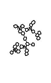 c1ccc(-c2cc(-c3ccc(-c4ccc5c(ccc6c5c5c(-c7cccc(N(c8ccc(-c9cc%10ccccc%10c%10ccccc9%10)cc8)c8ccc9ccccc9c8)c7)cccc5n6-c5ccccc5)c4)cc3)cc(N(c3cccc(-c4cccc5c4c4c6ccccc6ccc4n5-c4ccccc4)c3)c3ccc4ccccc4c3)c2)cc1